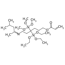 C=CC(=O)OCCCC(CCN=C(C)CC(C)C)([Si](OC)(OC)OC)[Si](OCC)(OCC)OCC